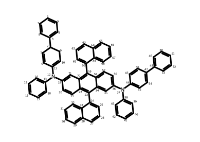 C1=CC(c2ccccc2)CC=C1N(c1ccccc1)c1ccc2c(-c3cccc4ccccc34)c3cc(N(c4ccccc4)c4ccc(-c5ccccc5)cc4)ccc3c(-c3cccc4ccccc34)c2c1